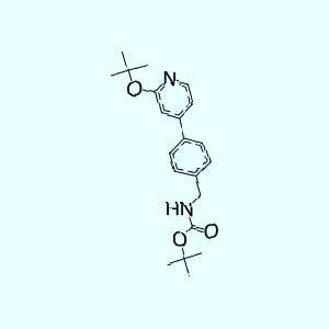 CC(C)(C)OC(=O)NCc1ccc(-c2ccnc(OC(C)(C)C)c2)cc1